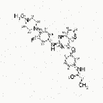 C=CC(=O)Nc1cccc(Oc2nc(Nc3ccc(N4CCN(C)CC4)c(F)c3)nc3ccsc23)c1